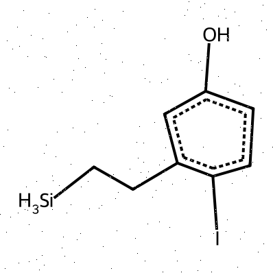 Oc1ccc(I)c(CC[SiH3])c1